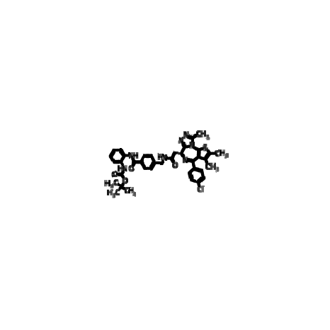 Cc1sc2c(c1C)C(c1ccc(Cl)cc1)=N[C@@H](CC(=O)NCc1ccc(C(=O)Nc3ccccc3NC(=O)OC(C)(C)C)cc1)c1nnc(C)n1-2